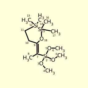 CO[Si](OC)(OC)C(C)=C1CC[Si](C)(C)[Si](C)(C)O1